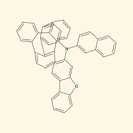 c1ccc2c(c1)-c1cccc3c1-c1cc(N(c4ccc5ccccc5c4)c4ccc5c(c4)oc4ccccc45)ccc1-c1cccc-3c1-2